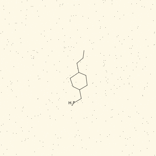 CCCC1CCC(CP)CC1